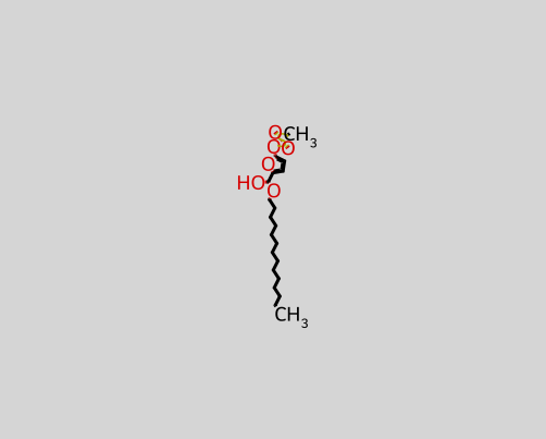 CCCCCCCCCCCCCCOC(O)c1ccc(OS(C)(=O)=O)o1